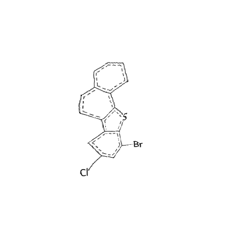 Clc1cc(Br)c2sc3c4ccccc4ccc3c2c1